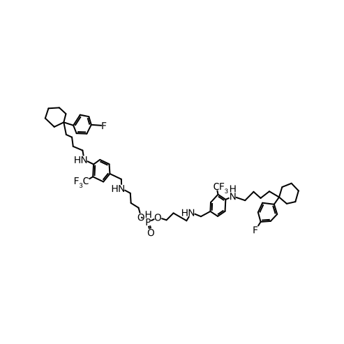 O=[PH](OCCCNCc1ccc(NCCCCC2(c3ccc(F)cc3)CCCCC2)c(C(F)(F)F)c1)OCCCNCc1ccc(NCCCCC2(c3ccc(F)cc3)CCCCC2)c(C(F)(F)F)c1